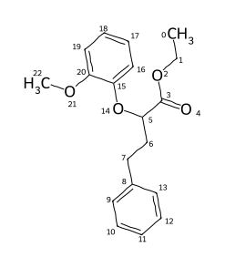 CCOC(=O)C(CCc1ccccc1)Oc1ccccc1OC